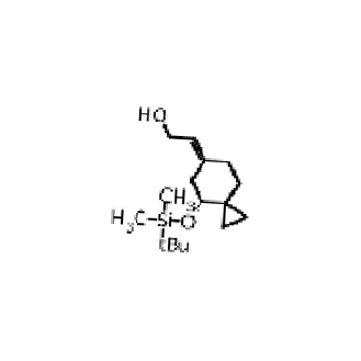 CC(C)(C)[Si](C)(C)O[C@@H]1C/C(=C\CO)CCC12CC2